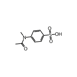 CC(=O)N(C)c1ccc(S(=O)(=O)O)cc1